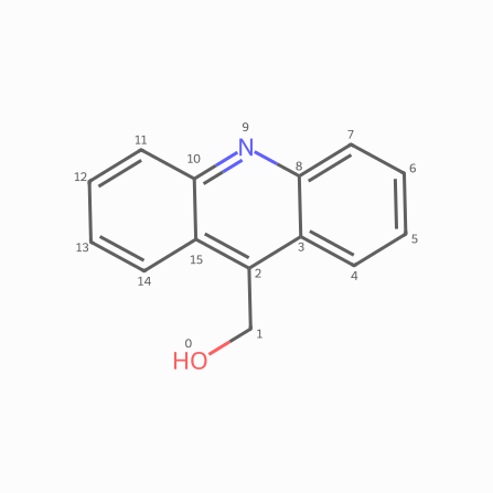 OCc1c2ccccc2nc2ccccc12